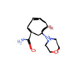 Br.NC(=O)c1ccccc1N1CCOCC1